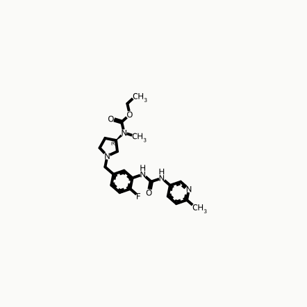 CCOC(=O)N(C)[C@@H]1CCN(Cc2ccc(F)c(NC(=O)Nc3ccc(C)nc3)c2)C1